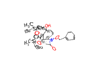 CC[C@@]1(O)C=C[C@]2(CC(=O)N2OCc2ccccc2)[C@H](O[Si](C)(C)C(C)(C)C)[C@@H]1O[Si](C)(C)C(C)(C)C